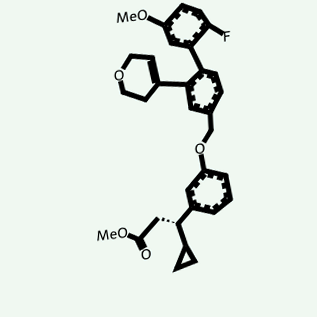 COC(=O)C[C@H](c1cccc(OCc2ccc(-c3cc(OC)ccc3F)c(C3=CCOCC3)c2)c1)C1CC1